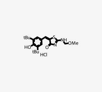 COCNC1=NC(=O)/C(=C\c2cc(C(C)(C)C)c(O)c(C(C)(C)C)c2)S1.Cl